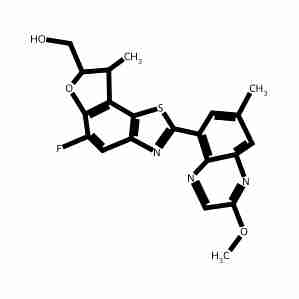 COc1cnc2c(-c3nc4cc(F)c5c(c4s3)C(C)C(CO)O5)cc(C)cc2n1